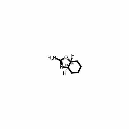 NC1=N[C@@H]2CCCC[C@H]2O1